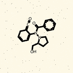 O=C=C1CC=CC=C1N(C(=O)c1ccccc1)N1CCCC1CO